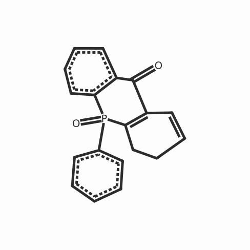 O=C1C2=C(CCC=C2)P(=O)(c2ccccc2)c2ccccc21